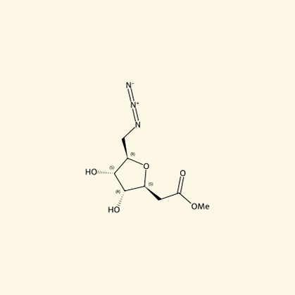 COC(=O)C[C@@H]1O[C@H](CN=[N+]=[N-])[C@@H](O)[C@H]1O